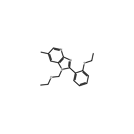 CCOCn1c(-c2ccccc2SCC)nc2ncc(C)cc21